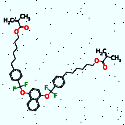 C=C(C)C(=O)OCCCCCCc1ccc(C(F)(F)Oc2ccc(OC(F)(F)c3ccc(CCCCCCOC(=O)C(=C)C)cc3)c3ccccc23)cc1